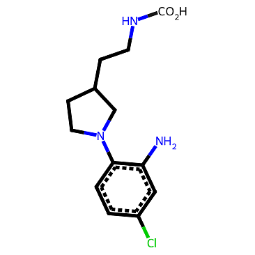 Nc1cc(Cl)ccc1N1CCC(CCNC(=O)O)C1